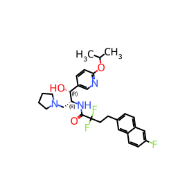 CC(C)Oc1ccc([C@@H](O)[C@@H](CN2CCCC2)NC(=O)C(F)(F)CCc2ccc3cc(F)ccc3c2)cn1